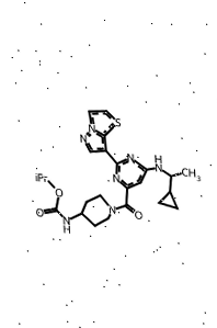 CC(C)OC(=O)NC1CCN(C(=O)c2cc(NC(C)C3CC3)nc(-c3cnn4ccsc34)n2)CC1